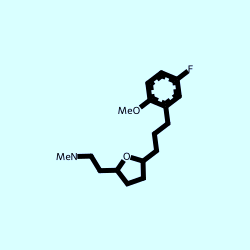 CNCCC1CCC(CCCc2cc(F)ccc2OC)O1